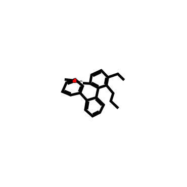 CCCc1ccc(CC)c(CCC)c1-c1ccccc1-c1ccccc1